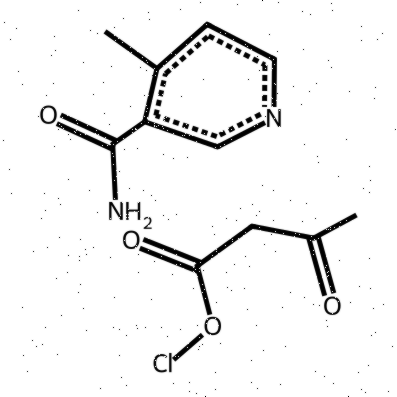 CC(=O)CC(=O)OCl.Cc1ccncc1C(N)=O